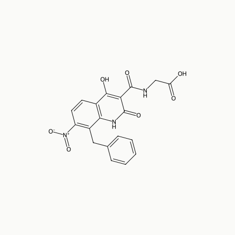 O=C(O)CNC(=O)c1c(O)c2ccc([N+](=O)[O-])c(Cc3ccccc3)c2[nH]c1=O